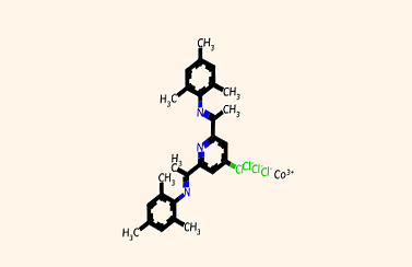 CC(=Nc1c(C)cc(C)cc1C)c1cc(Cl)cc(C(C)=Nc2c(C)cc(C)cc2C)n1.[Cl-].[Cl-].[Cl-].[Co+3]